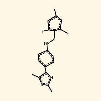 Cc1cc(F)c(CNc2ccc(-c3nc(C)sc3C)cc2)c(F)c1